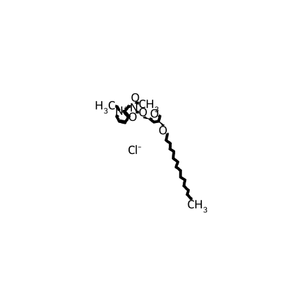 CCCCCCCCCCCCCCCCOC[C@@H]1CO[C@H](COC(=O)N(Cc2cccc[n+]2CC)C(C)=O)C1.[Cl-]